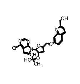 CC(C)(O)O[C@@H]1CC(COc2ccc3ccc(CO)nc3c2)OC1n1ccc2c(Cl)ncnc21